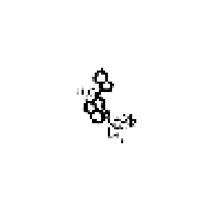 CC[Si](CC)(CC)OCCCC(C)(C1CCC2C=CC=CC21)C1CCC2C=CC=CC21